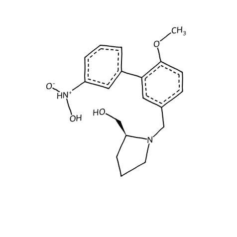 COc1ccc(CN2CCC[C@H]2CO)cc1-c1cccc([NH+]([O-])O)c1